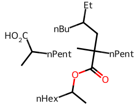 CCCCCC(C)C(=O)O.CCCCCCC(C)OC(=O)C(C)(CCCCC)CC(CC)CCCC